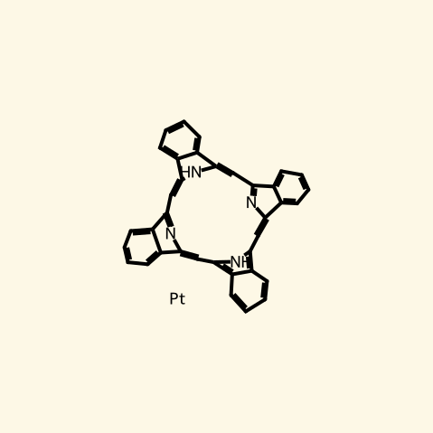 [Pt].c1ccc2c(c1)-c1cc3[nH]c(cc4nc(cc5[nH]c(cc-2n1)c1ccccc51)-c1ccccc1-4)c1ccccc31